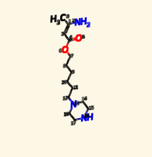 CC(N)=CC(=O)OCCCCCCN1CCNCC1